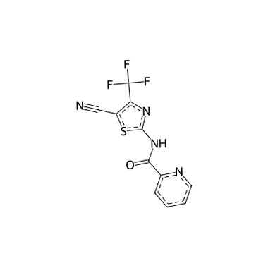 N#Cc1sc(NC(=O)c2ccccn2)nc1C(F)(F)F